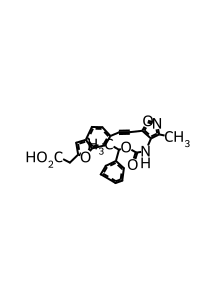 Cc1noc(C#Cc2ccc3cc(CC(=O)O)oc3c2)c1NC(=O)OC(C)c1ccccc1